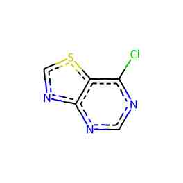 Clc1ncnc2ncsc12